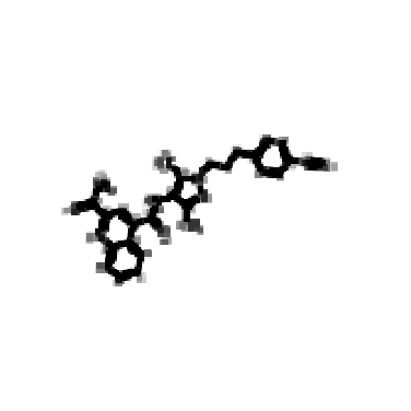 Cc1nn(CCCc2ccc(C#N)cc2)c(C)c1NC(=O)c1cc(C(N)=O)nc2ccccc12